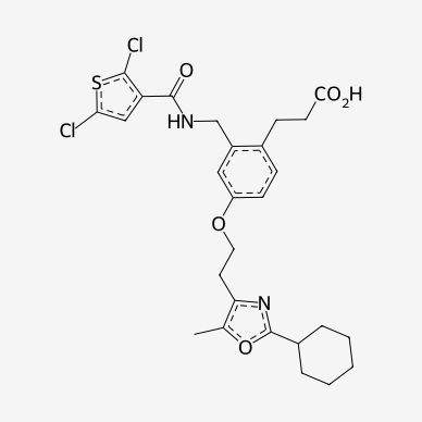 Cc1oc(C2CCCCC2)nc1CCOc1ccc(CCC(=O)O)c(CNC(=O)c2cc(Cl)sc2Cl)c1